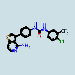 Nc1nccc2scc(-c3ccc(NC(=O)Nc4ccc(Cl)c(C(F)(F)F)c4)cc3)c12